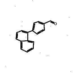 O=Cc1ccc(-c2cccc3ccccc23)cc1